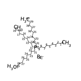 CCCCCCCCCC[P+](CCCCCCCCCC)(CCCCCCCCCC)CCCCCCCCCC.[Br-]